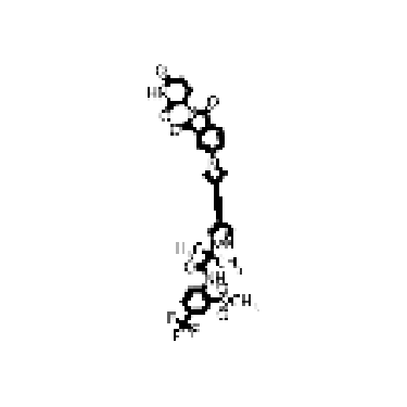 CC(C)(C(=O)Nc1ccc(C(F)(F)F)cc1S(C)(=O)=O)n1cc(C#CC2CN(c3ccc4c(c3)C(=O)N(C3CCC(=O)NC3=O)C4=O)C2)cn1